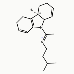 C/C(=N\CCC(C)Cl)N1C2=C(CCC=C2)[C@H]2CCC=CC21